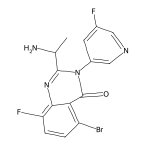 CC(N)c1nc2c(F)ccc(Br)c2c(=O)n1-c1cncc(F)c1